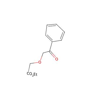 CCOC(=O)COCC(=O)c1ccccc1